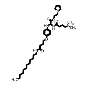 CCCCCCCCCCCCNC(=O)CCCOc1ccc(NC(NC(=O)CCCN(C)C)C(=O)NCCN2CCCC2)cc1